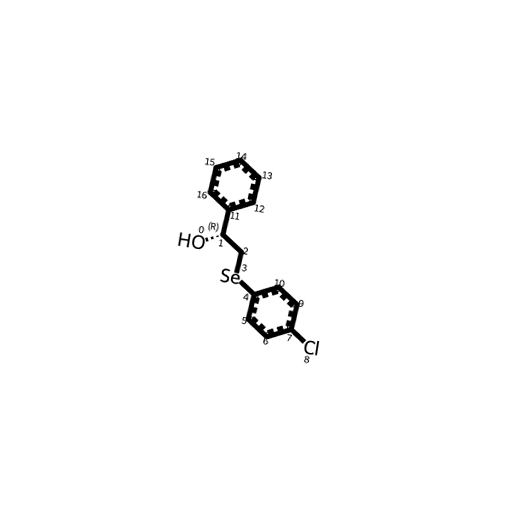 O[C@@H](C[Se]c1ccc(Cl)cc1)c1ccccc1